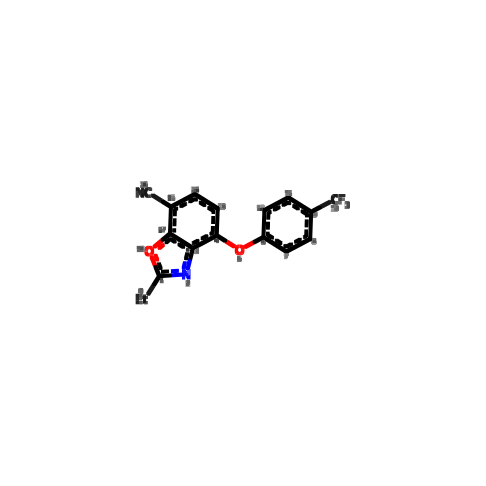 CCc1nc2c(Oc3ccc(C(F)(F)F)cc3)ccc(C#N)c2o1